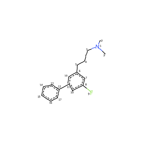 CN(C)CCCc1cc(F)cc(-c2ccccc2)c1